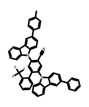 Cc1ccc(-c2ccc3c(c2)c2ccccc2n3-c2cc(-c3ccccc3C(F)(F)F)c(-n3c4ccccc4c4cc(-c5ccccc5)ccc43)cc2C#N)cc1